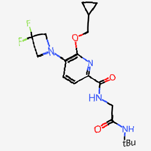 CC(C)(C)NC(=O)CNC(=O)c1ccc(N2CC(F)(F)C2)c(OCC2CC2)n1